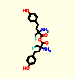 NC(CF)(CCc1ccc(O)cc1)C(=O)OC(=O)C(N)(CF)CCc1ccc(O)cc1